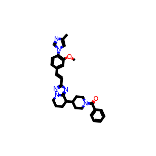 COc1cc(/C=C/c2nc3n(n2)CCCC3C2CCN(C(=O)c3ccccc3)CC2)ccc1-n1cnc(C)c1